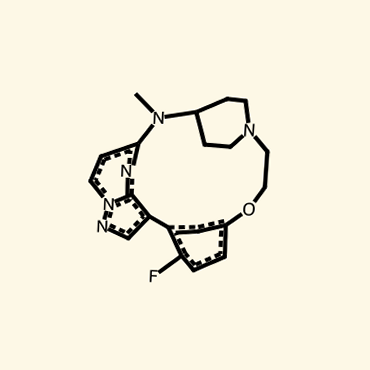 CN1c2ccn3ncc(c3n2)-c2cc(ccc2F)OCCN2CCC1CC2